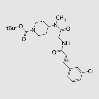 CN(C(=O)CNC(=O)/C=C/c1cccc(Cl)c1)C1CCN(C(=O)OC(C)(C)C)CC1